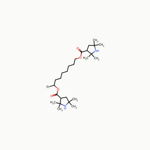 CCC(CCCCCCCOC(=O)C1CC(C)(C)NC1(C)C)OC(=O)C1CC(C)(C)NC1(C)C